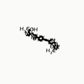 C[C@H](O)c1nccn1Cc1cc(-c2ccc(C#Cc3ccc(CN4CCN(C)C4=O)nc3)cc2)on1